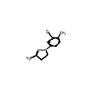 Cc1ccc(N2CCC(N)=N2)cc1Cl